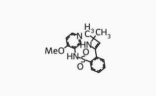 COc1ccncc1NS(=O)(=O)c1ccccc1C1=CC(C)(C)N1